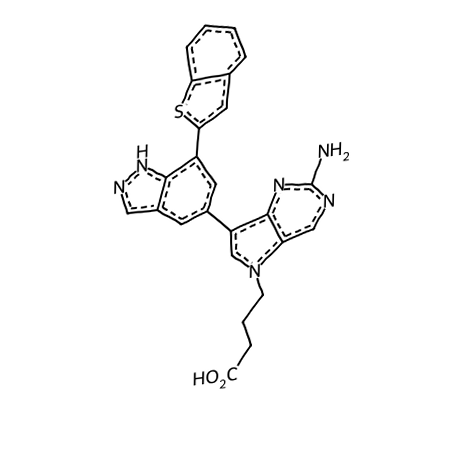 Nc1ncc2c(n1)c(-c1cc(-c3cc4ccccc4s3)c3[nH]ncc3c1)cn2CCCC(=O)O